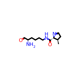 C[C@@H]1CC=N[C@H]1C(=O)NCCCC[C@H](N)C=O